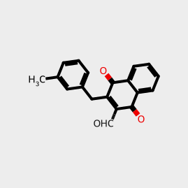 Cc1cccc(CC2=C(C=O)C(=O)c3ccccc3C2=O)c1